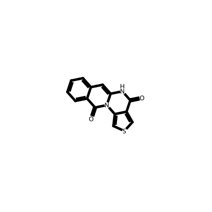 O=c1[nH]c2cc3ccccc3c(=O)n2c2cscc12